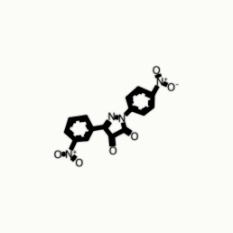 O=C1C(=O)N(c2ccc([N+](=O)[O-])cc2)N=C1c1cccc([N+](=O)[O-])c1